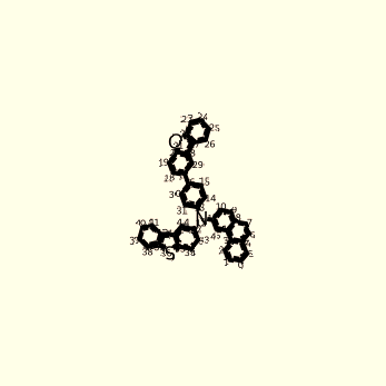 c1ccc2c(c1)ccc1ccc(N(c3ccc(-c4ccc5oc6ccccc6c5c4)cc3)c3ccc4sc5ccccc5c4c3)cc12